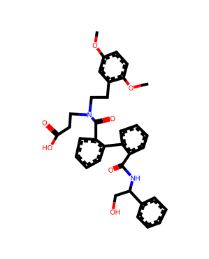 COc1ccc(OC)c(CCN(CCC(=O)O)C(=O)c2ccccc2-c2ccccc2C(=O)NC(CO)c2ccccc2)c1